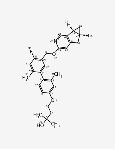 Cc1cc(OCCC(C)(C)O)ccc1-c1cc(COc2cc3c(cn2)[C@@H]2C[C@@H]2C3)c(F)cc1C(F)(F)F